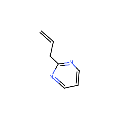 C=CCc1ncccn1